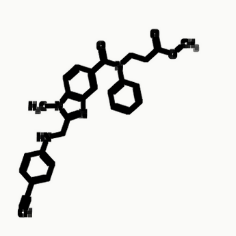 C#Cc1ccc(NCc2nc3cc(C(=O)N(CCC(=O)OC)c4ccccc4)ccc3n2C)cc1